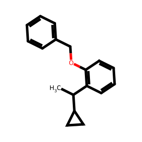 CC(c1ccc[c]c1OCc1ccccc1)C1CC1